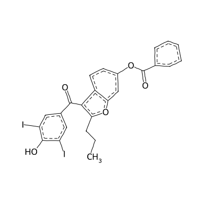 CCCc1oc2cc(OC(=O)c3ccccc3)ccc2c1C(=O)c1cc(I)c(O)c(I)c1